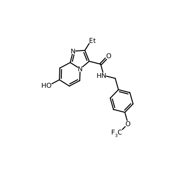 CCc1nc2cc(O)ccn2c1C(=O)NCc1ccc(OC(F)(F)F)cc1